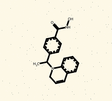 CC(c1ccc(C(=O)NO)cc1)N1CC=Cc2ccccc21